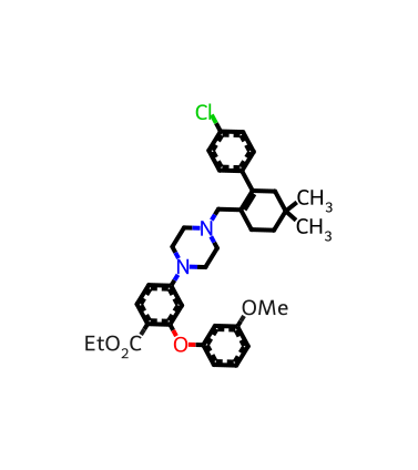 CCOC(=O)c1ccc(N2CCN(CC3=C(c4ccc(Cl)cc4)CC(C)(C)CC3)CC2)cc1Oc1cccc(OC)c1